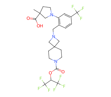 CC1(C(=O)O)CCN(c2cc(C(F)(F)F)ccc2CN2CC3(CCN(C(=O)OC(C(F)(F)F)C(F)(F)F)CC3)C2)C1